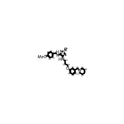 COc1ccc(CNc2n[s+]([O-])nc2NCCCOc2cccc(CN3CCCCC3)c2)cc1